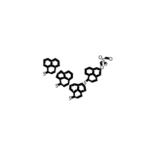 O=CS(=O)(=O)C=O.S=C1C=Cc2cccc3cccc1c23.S=C1C=Cc2cccc3cccc1c23.S=C1C=Cc2cccc3cccc1c23.S=C1C=Cc2cccc3cccc1c23